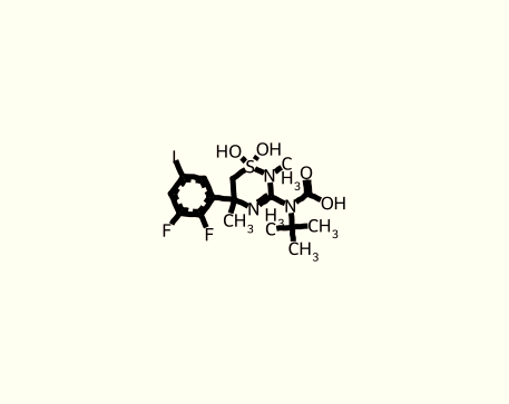 CN1C(N(C(=O)O)C(C)(C)C)=NC(C)(c2cc(I)cc(F)c2F)CS1(O)O